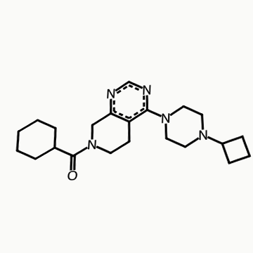 O=C(C1CCCCC1)N1CCc2c(ncnc2N2CCN(C3CCC3)CC2)C1